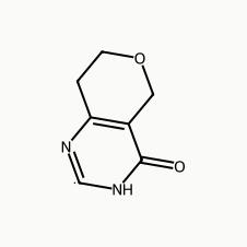 O=c1[nH][c]nc2c1COCC2